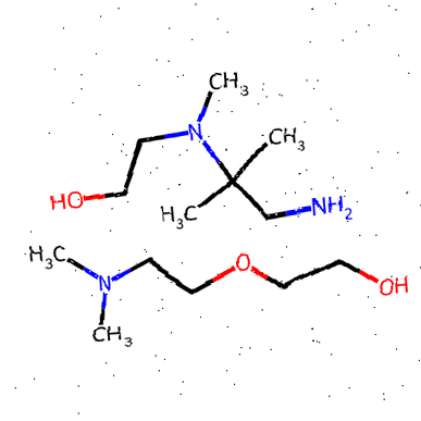 CN(C)CCOCCO.CN(CCO)C(C)(C)CN